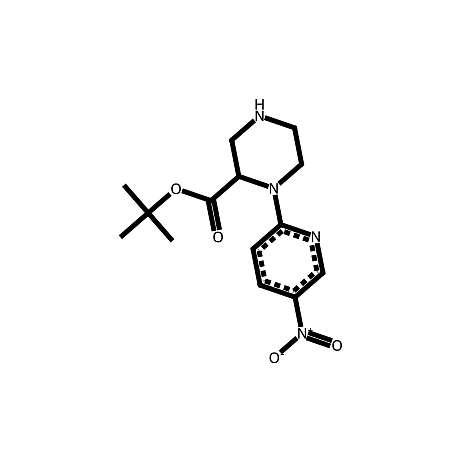 CC(C)(C)OC(=O)C1CNCCN1c1ccc([N+](=O)[O-])cn1